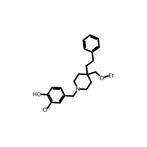 CCOCC1(CCc2ccccc2)CCN(Cc2ccc(O)c(Cl)c2)CC1